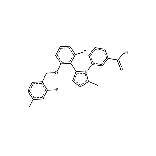 Cc1ccc(-c2c(Cl)cccc2OCc2ccc(F)cc2F)n1-c1cccc(C(=O)O)c1